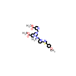 COC(=O)c1ccnc(CN(CCN(C)Cc2cccc(-c3ncc(-c4ccc(OC)cc4)s3)n2)Cc2cc(C(=O)OC)ccn2)c1